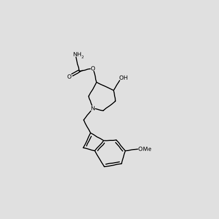 COc1ccc2c(c1)C(CN1CCC(O)C(OC(N)=O)C1)=C2